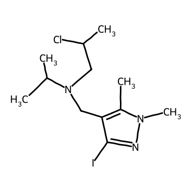 Cc1c(CN(CC(C)Cl)C(C)C)c(I)nn1C